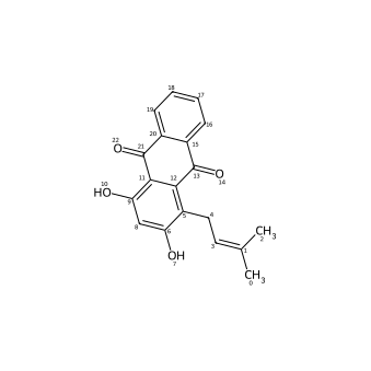 CC(C)=CCc1c(O)cc(O)c2c1C(=O)c1ccccc1C2=O